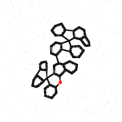 c1ccc2c(c1)Oc1c(cc(-c3cccc4c3-c3ccccc3C43c4ccccc4-c4ccc5ccccc5c43)c3ccccc13)C21c2ccccc2-c2ccccc21